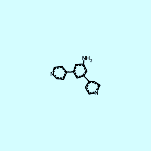 Nc1cc(-c2ccncc2)cc(-c2ccncc2)c1